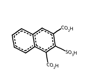 O=C(O)c1cc2ccccc2c(C(=O)O)c1S(=O)(=O)O